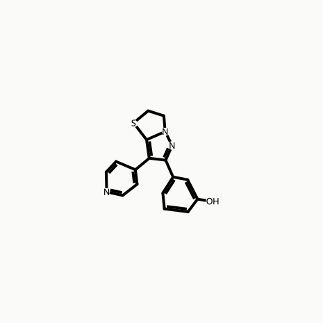 Oc1cccc(-c2nn3c(c2-c2ccncc2)SCC3)c1